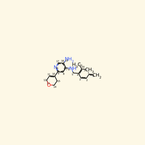 C=C/C=C\C(CNc1cc(C2=CCOCC2)ncc1N)=C(C)C